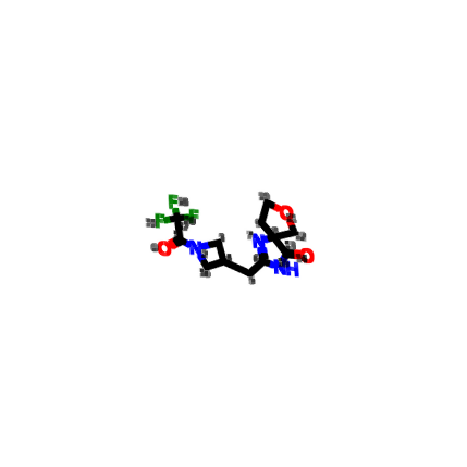 O=C(N1CC(CC2=NC3(CCOC3)C(=O)N2)C1)C(F)(F)F